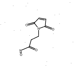 O=NC(=O)CCN1C(=O)C=CC1=O